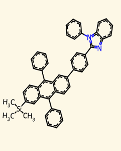 C[Si](C)(C)c1ccc2c(-c3ccccc3)c3cc(-c4ccc(-c5nc6ccccc6n5-c5ccccc5)cc4)ccc3c(-c3ccccc3)c2c1